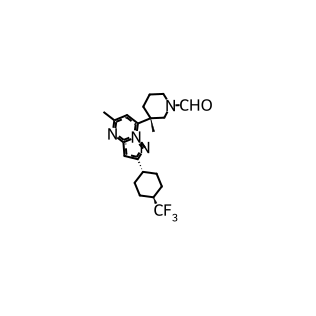 Cc1cc([C@]2(C)CCCN(C=O)C2)n2nc([C@H]3CC[C@H](C(F)(F)F)CC3)cc2n1